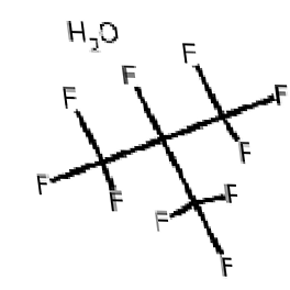 FC(F)(F)C(F)(C(F)(F)F)C(F)(F)F.O